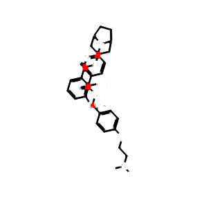 CCN(CC)CCOc1ccc(CNC(=O)c2ccc(N3C4CCC3CC(NC(=O)c3cccc(OC)c3C)C4)nc2)cc1